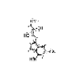 CCCCc1nc(N)c2ncn(C[C@H](O)[C@H](O)COC)c2n1